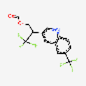 O=COCC(c1cnc2ccc(C(F)(F)F)cc2c1)C(F)(F)F